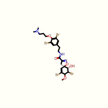 COC1C(Br)=C[C@]2(CC(C(=O)NCCc3cc(Br)c(OCCCN(C)C)c(Br)c3)=NO2)[C@H](O)C1Br